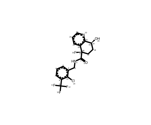 O=C(NCc1cccc(C(F)(F)F)c1Cl)[C@@]1(F)CC[C@H](O)c2ncccc21